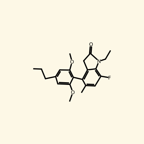 CCCc1cc(OC)c(-c2c(C)cc(F)c3c2CC(=O)N3CC)c(OC)c1